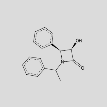 CC(c1ccccc1)N1C(=O)[C@H](O)[C@@H]1c1ccccc1